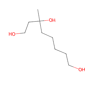 CC(O)(CCO)CCCCCO